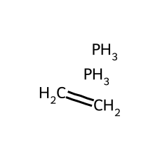 C=C.P.P